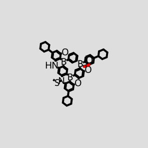 CSN1c2cc3c(cc2B2c4cc5c(cc4Oc4cc(C6CCCCC6)cc1c42)Oc1cc(C2CCCCC2)cc2c1B5c1ccccc1O2)B1c2ccccc2Oc2cc(C4CCCCC4)cc(c21)N3